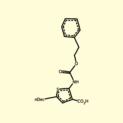 CCCCCCCCCCc1cc(C(=O)O)c(NC(=O)OCCc2ccccc2)s1